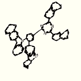 c1ccc2cc(-c3nc(-c4ccc(-n5c6ccccc6c6cc7ccccc7cc65)c(-c5ccc6c(c5)oc5ccccc56)c4)nc(-c4ccc5ccccc5c4)n3)ccc2c1